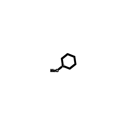 CON1CCCCC1